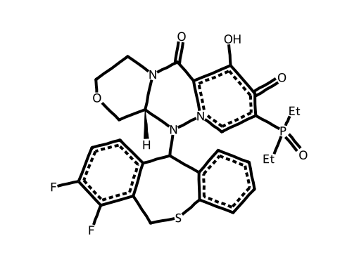 CCP(=O)(CC)c1cn2c(c(O)c1=O)C(=O)N1CCOC[C@H]1N2C1c2ccccc2SCc2c1ccc(F)c2F